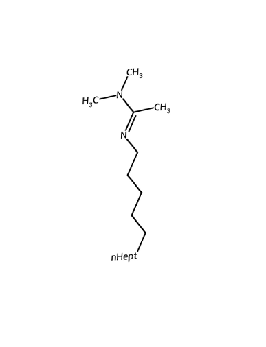 CCCCCCCCCCCC/N=C(\C)N(C)C